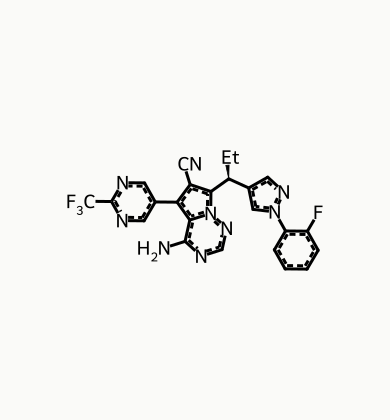 CC[C@@H](c1cnn(-c2ccccc2F)c1)c1c(C#N)c(-c2cnc(C(F)(F)F)nc2)c2c(N)ncnn12